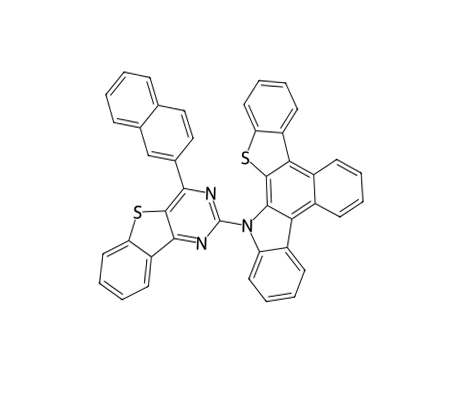 c1ccc2cc(-c3nc(-n4c5ccccc5c5c6ccccc6c6c7ccccc7sc6c54)nc4c3sc3ccccc34)ccc2c1